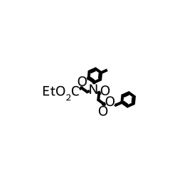 CCOC(=O)C1CN(C(=O)CC(=O)OCc2ccccc2)c2cc(C)ccc2O1